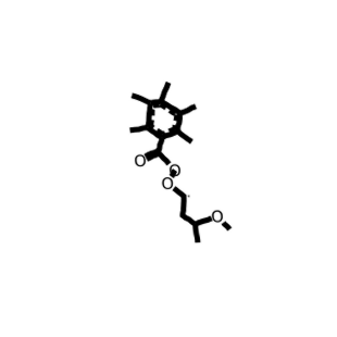 COC(C)C[CH]OOC(=O)c1c(C)c(C)c(C)c(C)c1C